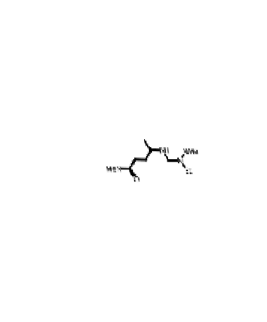 CCN(CNC(C)CCC(=O)NC)NC